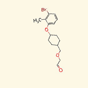 Cc1c(Br)cccc1OC1CCC(COCC=O)CC1